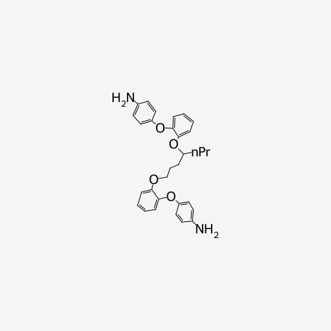 CCCC(CCCOc1ccccc1Oc1ccc(N)cc1)Oc1ccccc1Oc1ccc(N)cc1